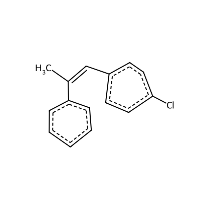 C/C(=C/c1ccc(Cl)cc1)c1ccccc1